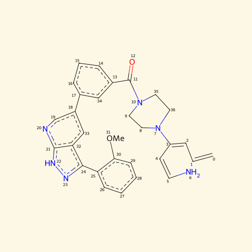 C=C/C=C(\C=C/N)N1CCN(C(=O)c2cccc(-c3cnc4[nH]nc(-c5ccccc5OC)c4c3)c2)CC1